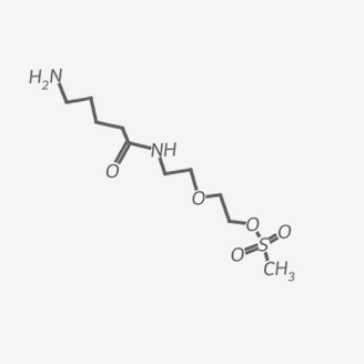 CS(=O)(=O)OCCOCCNC(=O)CCCCN